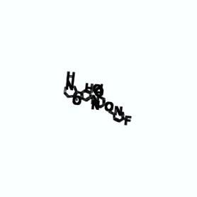 Cl.O=c1cc(OCc2ccc(F)cn2)cnn1-c1ccc2c3c(oc2c1)CCCNC3